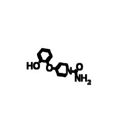 NC(=O)N1C=CC(Oc2ccccc2O)=CC1